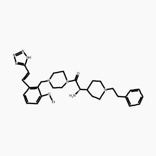 CCOc1cccc(/C=C/c2nnn[nH]2)c1CN1CCN(C(=O)[C@H](N)C2CCN(CCc3ccccc3)CC2)CC1